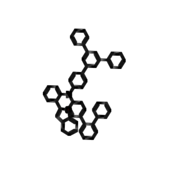 c1ccc(-c2cc(-c3ccccc3)cc(-c3ccc(N(c4ccc(-c5ccccc5-c5ccccc5)cc4)c4ccccc4-c4cc5ccccc5o4)cc3)c2)cc1